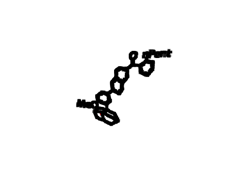 CCCCCc1ccccc1C(=O)c1ccc2cc(-c3ccc(OC)c(C45CC6CC(CC(C6)C4)C5)c3)ccc2c1